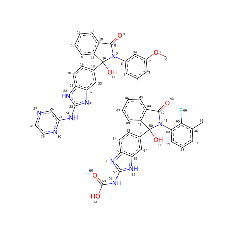 COc1cccc(N2C(=O)c3ccccc3C2(O)c2ccc3[nH]c(Nc4cnccn4)nc3c2)c1.Cc1cccc(N2C(=O)c3ccccc3C2(O)c2ccc3nc(NC(=O)O)[nH]c3c2)c1F